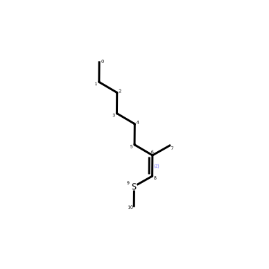 CCCCCC/C(C)=C\SC